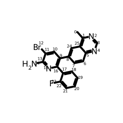 Cc1ncnc2ccc(-c3cc(Br)c(N)nc3-c3ccccc3F)cc12